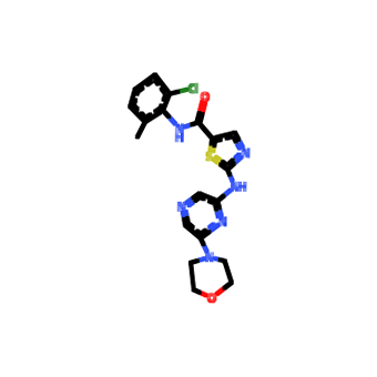 Cc1cccc(Cl)c1NC(=O)c1cnc(Nc2cncc(N3CCOCC3)n2)s1